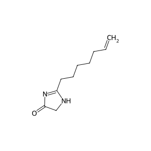 C=CCCCCCC1=NC(=O)CN1